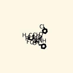 CC(C)[C@H](NC(=O)[C@H](Cc1ccccc1)NC(=O)COc1cccc(Cl)c1)C(=O)C(F)(F)F